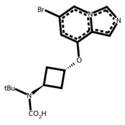 CC(C)(C)N(C(=O)O)[C@H]1C[C@H](Oc2cc(Br)cn3cncc23)C1